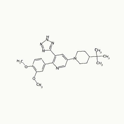 COc1ccc(-c2ncc(N3CCC(C(C)(C)C)CC3)cc2-c2nn[nH]n2)cc1OC